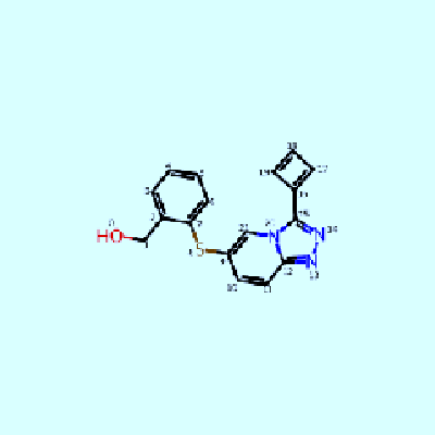 OCc1ccccc1Sc1ccc2nnc(C3=CC=C3)n2c1